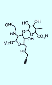 C#CCNCC1OC(OC)C(NCC=O)C(OC2OC(C(=O)O)C(C)C(O)C2O)C1O